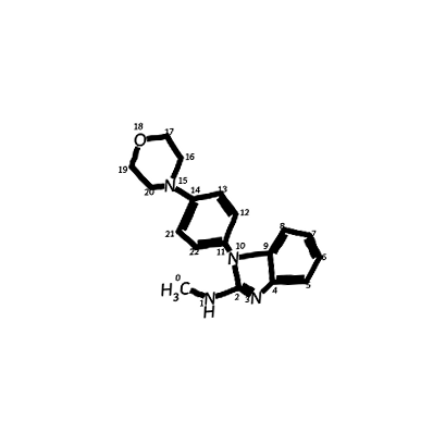 CNc1nc2ccccc2n1-c1ccc(N2CCOCC2)cc1